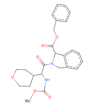 CC(C)(C)OC(=O)NC(C(=O)N1Cc2ccccc2C1C(=O)OCc1ccccc1)C1CCOCC1